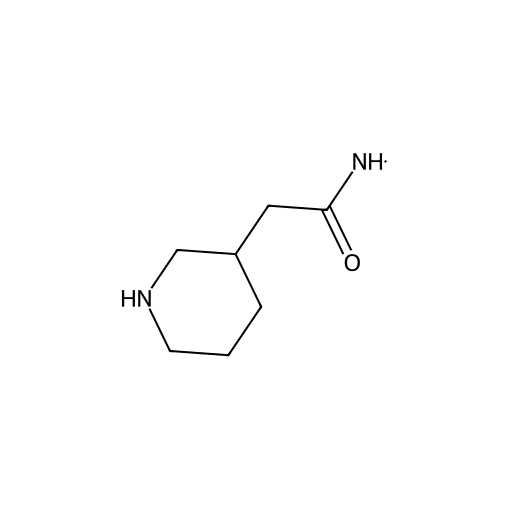 [NH]C(=O)CC1CCCNC1